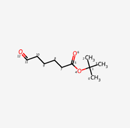 CC(C)(C)OC(=O)CCCCC=O